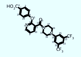 O=C(O)c1ccc(Oc2ncccc2C(=O)N2CCN(c3cc(C(F)(F)F)cc(C(F)(F)F)c3)CC2)cc1